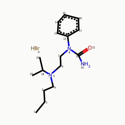 Br.CCCCN(CCN(C(N)=O)c1ccccc1)C(C)C